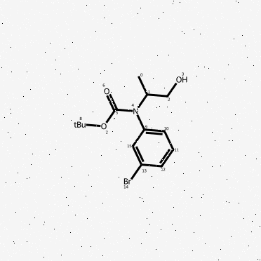 CC(CO)N(C(=O)OC(C)(C)C)c1cccc(Br)c1